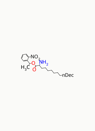 CCCCCCCCCCCCCCCCCC(N)C(=O)OC(C)c1ccccc1[N+](=O)[O-]